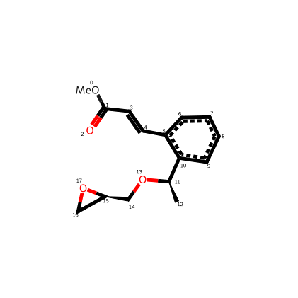 COC(=O)C=Cc1ccccc1[C@@H](C)OC[C@H]1CO1